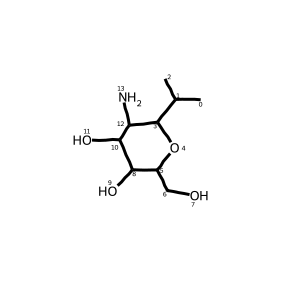 CC(C)C1OC(CO)C(O)C(O)C1N